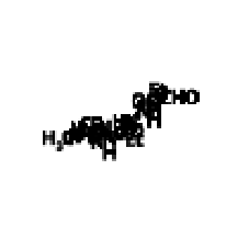 CCc1cc(Nc2nccn3c(-c4cn(C)nc4C(F)(F)F)cnc23)ccc1C(=O)NCCNC(=O)[C@@H]1C[C@](CC)(OC=O)CN1